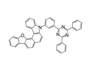 c1ccc(-c2nc(-c3ccccc3)nc(-c3cccc(-n4c5ccccc5c5c6c(ccc7c8ccccc8oc76)ccc54)c3)n2)cc1